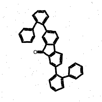 O=C1c2cc(-c3ccccc3-c3ccccc3)ccc2-c2ccc(-c3ccccc3-c3ccccc3)cc21